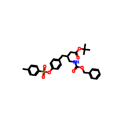 Cc1ccc(S(=O)(=O)Oc2ccc(CC(CNC(=O)OCc3ccccc3)CC(=O)OC(C)(C)C)cc2)cc1